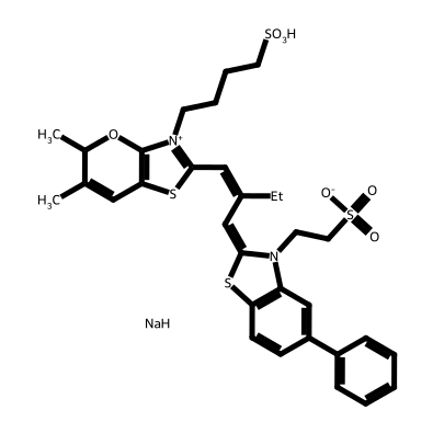 CCC(=Cc1sc2c([n+]1CCCCS(=O)(=O)O)OC(C)C(C)=C2)C=C1Sc2ccc(-c3ccccc3)cc2N1CCS(=O)(=O)[O-].[NaH]